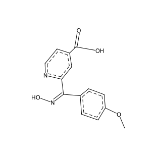 COc1ccc(/C(=N/O)c2cc(C(=O)O)ccn2)cc1